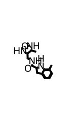 Cc1cccc2c1NC(C(=O)NCC1NONC1C)C2